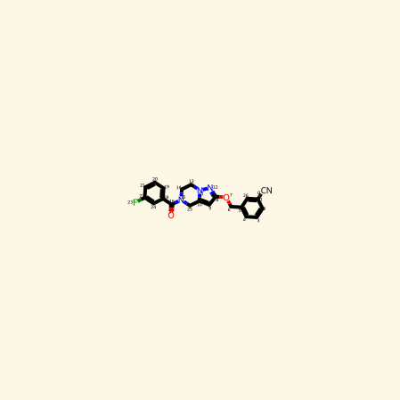 N#Cc1cccc(COc2cc3n(n2)CCN(C(=O)c2cccc(F)c2)C3)c1